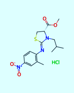 COC(=O)[C@H]1CS/C(=N\c2ccc([N+](=O)[O-])cc2C)N1CC(C)C.Cl